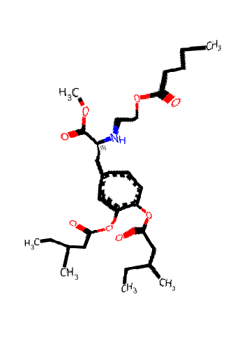 CCCCC(=O)OCCN[C@@H](Cc1ccc(OC(=O)CC(C)CC)c(OC(=O)CC(C)CC)c1)C(=O)OC